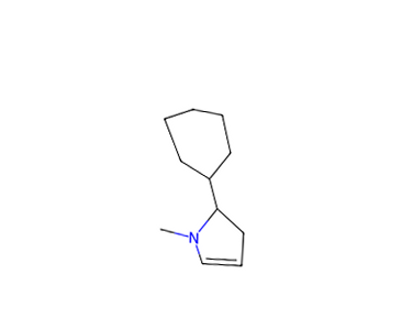 CN1C=CCC1C1CCCCC1